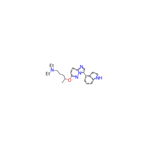 CCN(CC)CCCC(C)Oc1ccc2ncc(-c3cccc4[nH]ccc34)n2n1